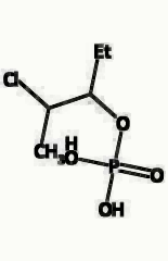 CCC(OP(=O)(O)O)C(C)Cl